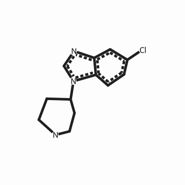 Clc1ccc2c(c1)ncn2C1CC[N]CC1